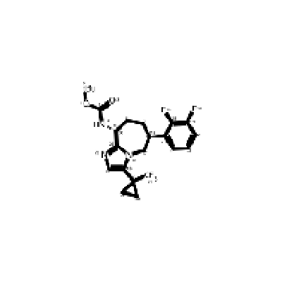 CC(C)(C)OC(=O)N[C@@H]1CC[C@@H](c2cccc(F)c2F)Cn2c(C3(C(F)(F)F)CC3)cnc21